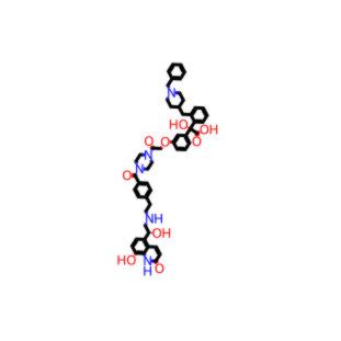 O=C(COc1cccc([C@@](O)(C(=O)O)c2ccccc2CC2CCN(Cc3ccccc3)CC2)c1)N1CCN(C(=O)c2ccc(CCNC[C@H](O)c3ccc(O)c4[nH]c(=O)ccc34)cc2)CC1